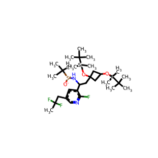 CC(F)(F)Cc1cnc(F)c(C(CC2(O[Si](C)(C)C(C)(C)C)CC(O[Si](C)(C)C(C)(C)C)C2)N[S+]([O-])C(C)(C)C)c1